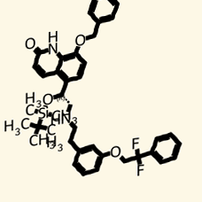 CC(C)(C)[Si](C)(C)O[C@@H](CNCCc1cccc(OCC(F)(F)c2ccccc2)c1)c1ccc(OCc2ccccc2)c2[nH]c(=O)ccc12